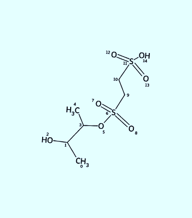 CC(O)C(C)OS(=O)(=O)CCS(=O)(=O)O